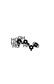 Cc1cc(NCc2cccc(CN3C[C@H](O)[C@@H](O)[C@H](O)[C@H]3CO)c2)cc(C2=COCCO2)c1